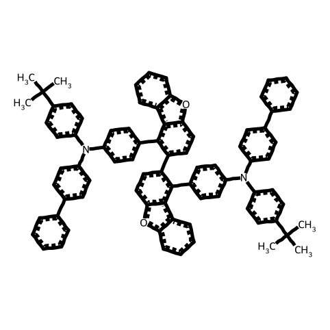 CC(C)(C)c1ccc(N(c2ccc(-c3ccccc3)cc2)c2ccc(-c3c(-c4ccc5oc6ccccc6c5c4-c4ccc(N(c5ccc(-c6ccccc6)cc5)c5ccc(C(C)(C)C)cc5)cc4)ccc4oc5ccccc5c34)cc2)cc1